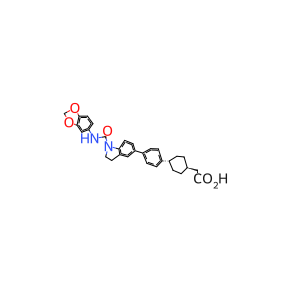 O=C(O)C[C@H]1CC[C@H](c2ccc(-c3ccc4c(c3)CCN4C(=O)Nc3ccc4c(c3)OCO4)cc2)CC1